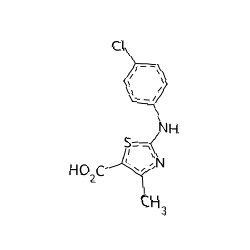 Cc1nc(Nc2ccc(Cl)cc2)sc1C(=O)O